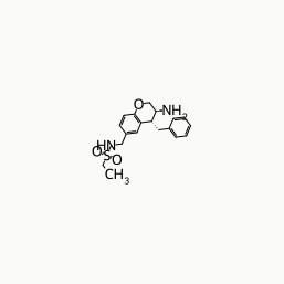 CCS(=O)(=O)NCc1ccc2c(c1)[C@@H](Cc1ccccc1)[C@H](N)CO2